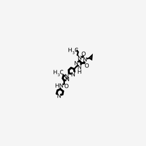 CCCn1c(=O)n(C2CC2)c(=O)c2[nH]c(-c3ccc(-n4nc(C(=O)Nc5ccncc5)cc4C)nc3)nc21